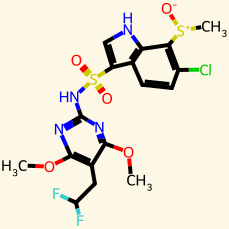 COc1nc(NS(=O)(=O)c2c[nH]c3c([S+](C)[O-])c(Cl)ccc23)nc(OC)c1CC(F)F